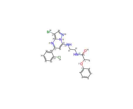 CC(Oc1ccccc1)C(=O)NCCNc1cc(-c2ccccc2Cl)nc2c(Br)cnn12